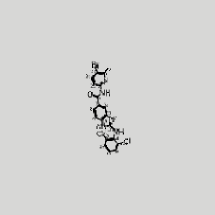 Cc1nc(NC(=O)c2ccc3[nH]c(Nc4c(Cl)cccc4Cl)nc3c2)ccc1Br